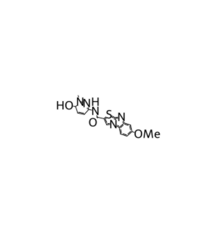 COc1ccc2c(c1)nc1sc(C(=O)NC3=NN(C)C(O)C=C3)cn12